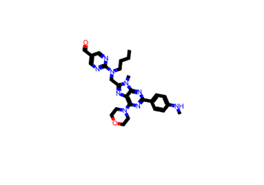 CCCCN(Cc1nc2c(N3CCOCC3)nc(-c3ccc(NC)cc3)nc2n1C)c1ncc(C=O)cn1